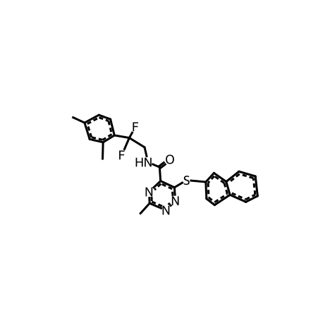 Cc1ccc(C(F)(F)CNC(=O)c2nc(C)nnc2Sc2ccc3ccccc3c2)c(C)c1